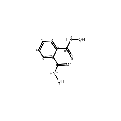 O=C(NO)c1ccccc1C(=O)NO